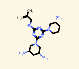 C=C(C)CNc1nc(N2CCC[C@@H](N)C2)nc(N2C[C@H](N)C[C@H](N)C2)n1